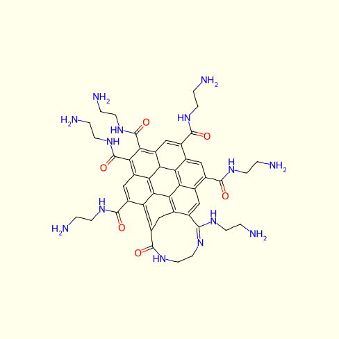 NCCNC(=O)C1=CC2=C(C(=O)NCCN)C(C(=O)NCCN)=c3cc(C(=O)NCCN)c4c5c3C2c2c1cc(C(=O)NCCN)c1cc3c(c-5c21)CC=4C(=O)NCC/N=C\3NCCN